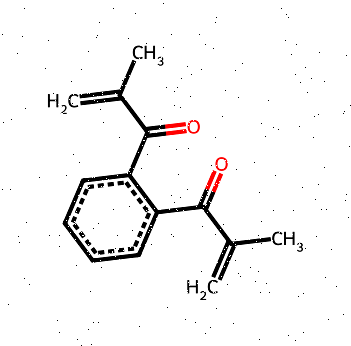 C=C(C)C(=O)c1ccccc1C(=O)C(=C)C